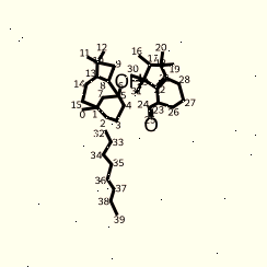 CC12CCCC(O)(C1)C1CC(C)(C)C1CC2.CC1C(C)(C)C2=C(C(C=O)CCC2)C1(C)C.CCCCCCCC